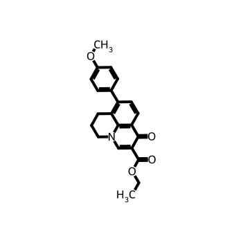 CCOC(=O)c1cn2c3c(c(-c4ccc(OC)cc4)ccc3c1=O)CCC2